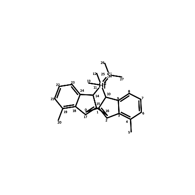 CC1=Cc2c(C)cccc2[CH]1[Hf]([CH3])([CH3])([CH]1C(C)=Cc2c(C)cccc21)=[Si](C)C